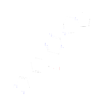 Oc1cc(-c2cn[nH]c2)ccc1-c1cnc(N2CCN3CCCC3C2)nn1